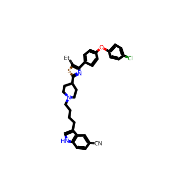 CCc1sc(C2CCN(CCCCc3c[nH]c4ccc(C#N)cc34)CC2)nc1-c1ccc(Oc2ccc(Cl)cc2)cc1